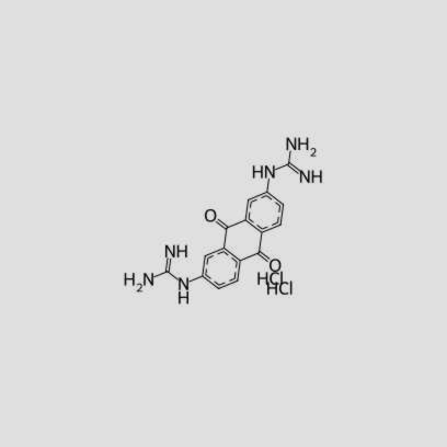 Cl.Cl.N=C(N)Nc1ccc2c(c1)C(=O)c1cc(NC(=N)N)ccc1C2=O